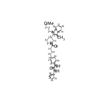 COCCCn1c(C2CCCN(C(=O)CCCc3ccc(NC(=O)Nc4ccsc4)cc3)C2)c(C)c2ccccc21